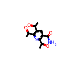 CC(=O)c1cc(C(N)=O)c(C(C)=O)nc1C(C)=O